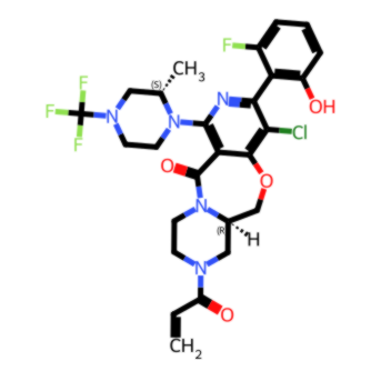 C=CC(=O)N1CCN2C(=O)c3c(N4CCN(C(F)(F)F)C[C@@H]4C)nc(-c4c(O)cccc4F)c(Cl)c3OC[C@H]2C1